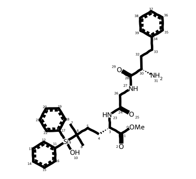 COC(=O)[C@H](CCC(C)(C)[Si](O)(c1ccccc1)c1ccccc1)NC(=O)CNC(=O)[C@@H](N)CCc1ccccc1